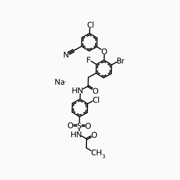 CCC(=O)NS(=O)(=O)c1ccc(NC(=O)Cc2ccc(Br)c(Oc3cc(Cl)cc(C#N)c3)c2F)c(Cl)c1.[Na]